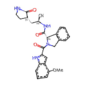 COc1cccc2[nH]c(C(=O)N3Cc4ccccc4[C@H]3C(=O)N[C@H](C#N)C[C@@H]3CCNC3=O)cc12